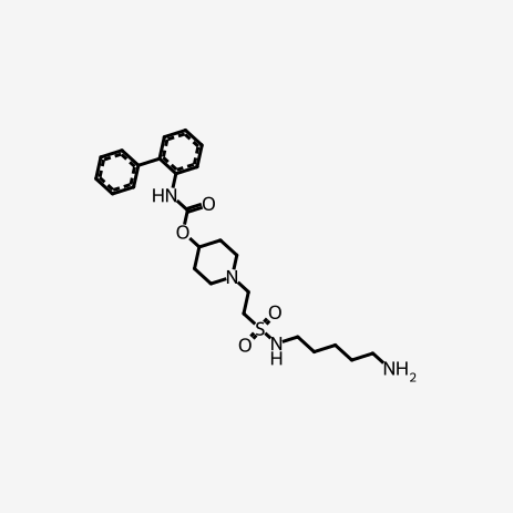 NCCCCCNS(=O)(=O)CCN1CCC(OC(=O)Nc2ccccc2-c2ccccc2)CC1